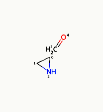 C1CN1.C=O